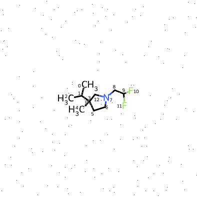 CC(C)[C@@]1(C)CCN(CC(F)F)C1